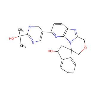 CC(C)(O)c1ncc(-c2ccc3nc4n(c3n2)C2(COC4)CC(O)c3ccccc32)cn1